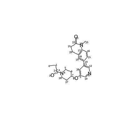 CC[S+]([O-])N1CCC(Oc2cncc(-c3ccc4c(c3)CCC(=O)N4C)c2)CC1